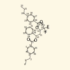 CCCc1ccc(C(=O)OC(CC(OC(=O)c2ccc(CCC)cc2)C(F)(F)F)c2ccccc2)cc1